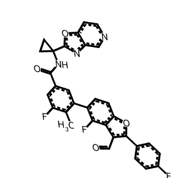 Cc1c(F)cc(C(=O)NC2(c3nc4cnccc4o3)CC2)cc1-c1ccc2oc(-c3ccc(F)cc3)c(C=O)c2c1F